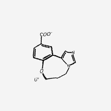 O=C([O-])c1ccc2c(c1)-c1cncn1CCCO2.[Li+]